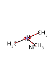 CCCCCCCCCCCCC#CC(/C=N/c1cccc(CCCCCCCCCCCCC)c1)=N\c1cccc(CCCCCCCCCCCCC)c1.[Ni]